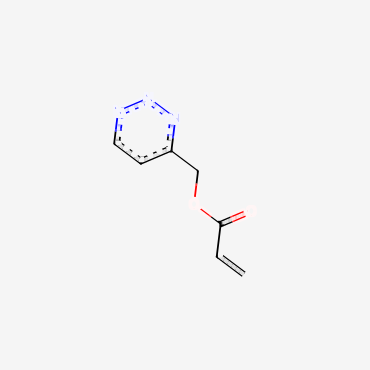 C=CC(=O)OCc1ccnnn1